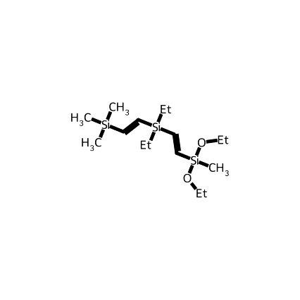 CCO[Si](C)(C=C[Si](C=C[Si](C)(C)C)(CC)CC)OCC